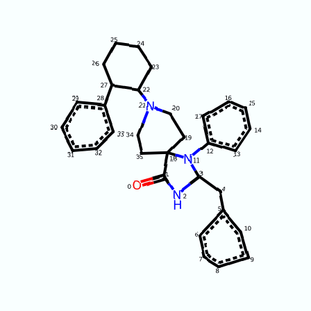 O=C1NC(Cc2ccccc2)N(c2ccccc2)C12CCN(C1CCCCC1c1ccccc1)CC2